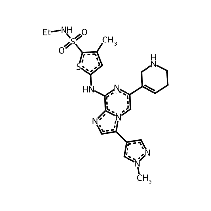 CCNS(=O)(=O)c1sc(Nc2nc(C3=CCCNC3)cn3c(-c4cnn(C)c4)cnc23)cc1C